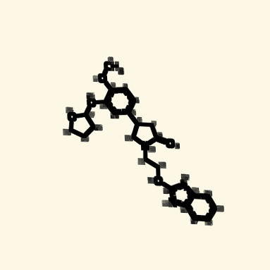 COc1ccc(C2CC(=O)N(CCOc3nc4ccccc4s3)C2)cc1OC1CCCO1